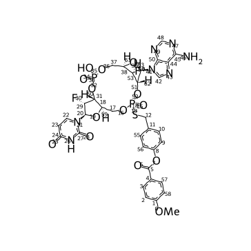 COc1ccc(C(=O)Oc2ccc(CSP3(=O)OC[C@H]4O[C@@H](n5ccc(=O)[nH]c5=O)[C@H](F)[C@@H]4OP(=O)(O)OC[C@H]4O[C@@H](n5cnc6c(N)ncnc65)[C@H](O3)[C@@H]4F)cc2)cc1